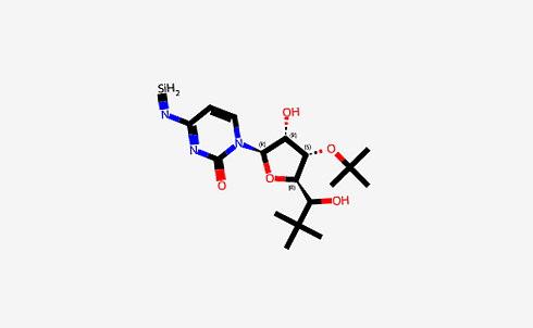 CC(C)(C)O[C@H]1[C@@H](O)[C@H](n2ccc(N=[SiH2])nc2=O)O[C@@H]1C(O)C(C)(C)C